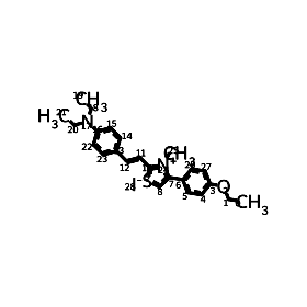 CCOc1ccc(-c2csc(/C=C/c3ccc(N(CC)CC)cc3)[n+]2C)cc1.[I-]